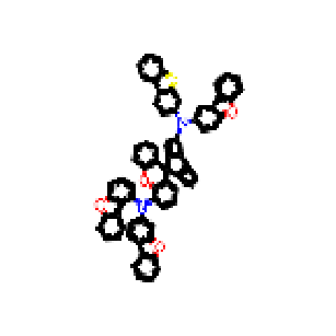 c1ccc2c(c1)Oc1c(N(c3ccc4c(c3)oc3ccccc34)c3cccc4oc5ccccc5c34)cccc1C21c2ccccc2-c2cc(N(c3ccc4c(c3)sc3ccccc34)c3ccc4oc5ccccc5c4c3)ccc21